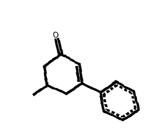 CC1CC(=O)C=C(c2ccccc2)C1